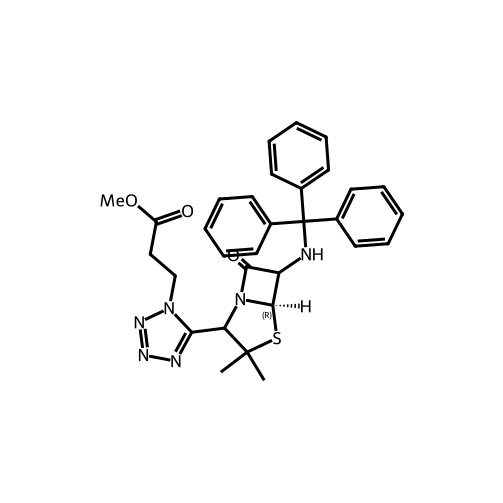 COC(=O)CCn1nnnc1C1N2C(=O)C(NC(c3ccccc3)(c3ccccc3)c3ccccc3)[C@H]2SC1(C)C